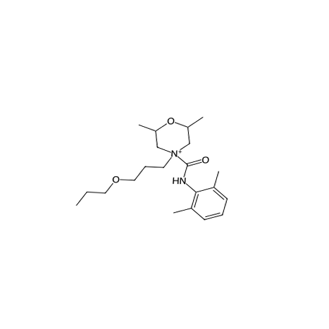 CCCOCCC[N+]1(C(=O)Nc2c(C)cccc2C)CC(C)OC(C)C1